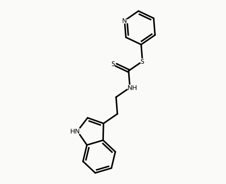 S=C(NCCc1c[nH]c2ccccc12)Sc1cccnc1